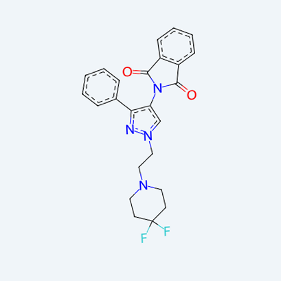 O=C1c2ccccc2C(=O)N1c1cn(CCN2CCC(F)(F)CC2)nc1-c1ccccc1